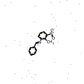 Cc1c(/N=C/c2ccccc2)cccc1[N+](=O)[O-]